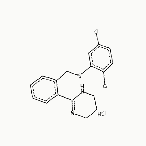 Cl.Clc1ccc(Cl)c(SCc2ccccc2C2=NCCCN2)c1